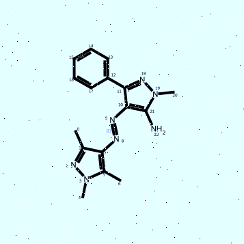 Cc1nn(C)c(C)c1/N=N/c1c(-c2ccccc2)nn(C)c1N